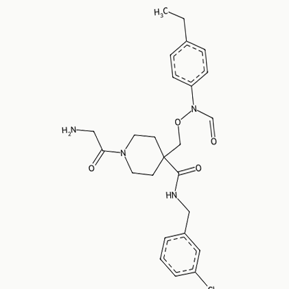 CCc1ccc(N(C=O)OCC2(C(=O)NCc3cccc(Cl)c3)CCN(C(=O)CN)CC2)cc1